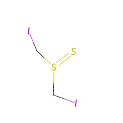 S=S(CI)CI